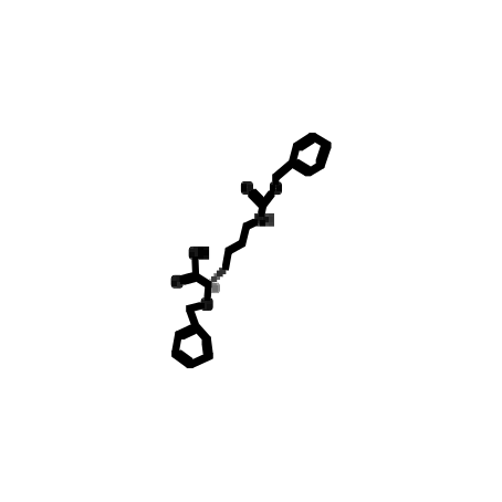 O=C(NCCCC[C@H](OCc1ccccc1)C(=O)O)OCc1ccccc1